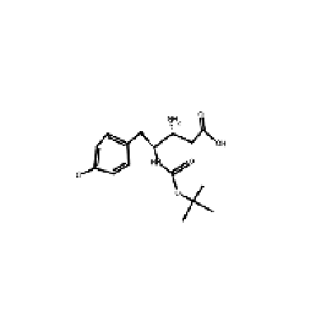 CC(C)(C)OC(=O)N[C@@H](Cc1ccc(Cl)cc1)[C@H](N)CC(=O)O